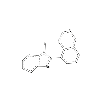 S=c1c2ccccc2[se]n1-c1cccc2cnccc12